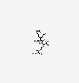 N=C(N)NCCC[C@H](NC(=O)[C@@H](N)C(CCCN)SC=O)C(=O)O